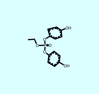 CCOP(=O)(Oc1ccc(O)cc1)Oc1ccc(O)cc1